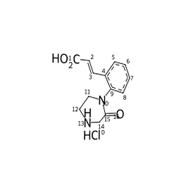 Cl.O=C(O)/C=C/c1ccccc1N1CCNCC1=O